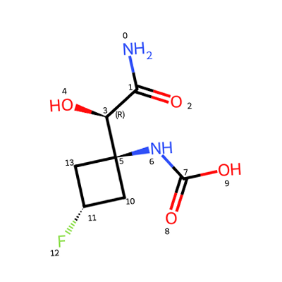 NC(=O)[C@H](O)[C@]1(NC(=O)O)C[C@H](F)C1